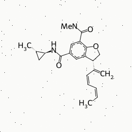 C=C(/C=C\C=C/C)[C@H]1COc2c(C(=O)NC)cc(C(=O)N[C@H]3C[C@@H]3C)cc21